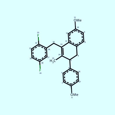 COc1ccc(C2Cc3ccc(OC)cc3C(Cc3cc(F)ccc3F)=C2C)cc1